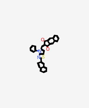 O=C1C(=Cc2cc3sc(-c4ccc5ccccc5c4)nc3n2-c2ccccc2)C(=O)c2cc3ccccc3cc21